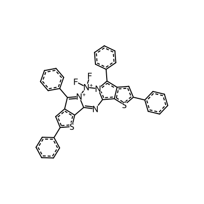 F[N+]1(F)n2c(-c3ccccc3)c3cc(-c4ccccc4)sc3c2N=C2c3sc(-c4ccccc4)cc3C(c3ccccc3)=[N+]21